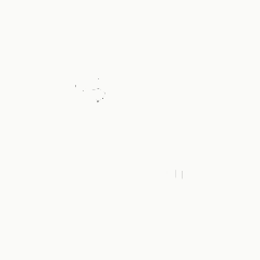 CCCCCC1CCC(C2CCC(C3CCC(c4cc(F)c(/C=C/C(F)(F)F)c(F)c4)CC3)CC2)CC1